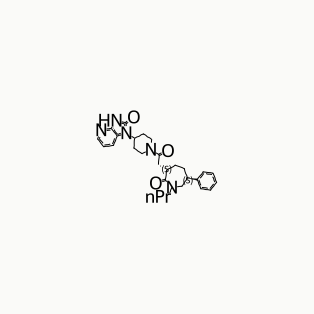 CCCN1C[C@H](c2ccccc2)CC[C@@H](CC(=O)N2CCC(n3c(=O)[nH]c4ncccc43)CC2)C1=O